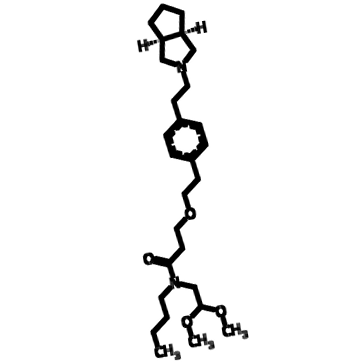 CCCCN(CC(OC)OC)C(=O)CCOCCc1ccc(CCN2C[C@H]3CCC[C@H]3C2)cc1